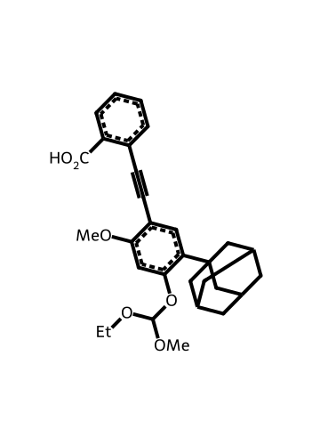 CCOC(OC)Oc1cc(OC)c(C#Cc2ccccc2C(=O)O)cc1C12CC3CC(CC(C3)C1)C2